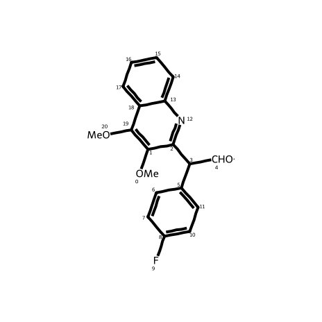 COc1c(C([C]=O)c2ccc(F)cc2)nc2ccccc2c1OC